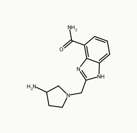 NC(=O)c1cccc2[nH]c(CN3CCC(N)C3)nc12